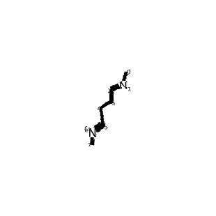 CN=CCCC=NC